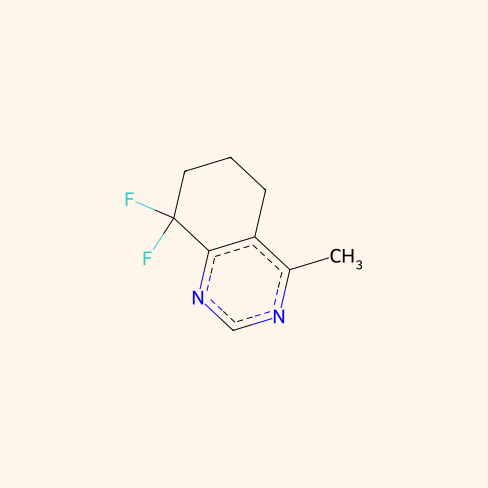 Cc1ncnc2c1CCCC2(F)F